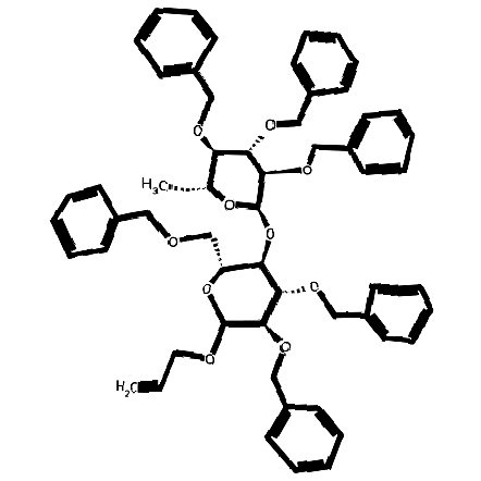 C=CCOC1O[C@H](COCc2ccccc2)[C@@H](O[C@H]2O[C@H](C)[C@@H](OCc3ccccc3)[C@H](OCc3ccccc3)[C@H]2OCc2ccccc2)[C@H](OCc2ccccc2)[C@H]1OCc1ccccc1